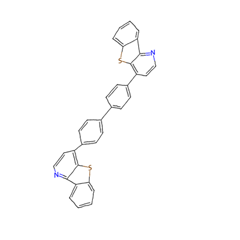 c1ccc2c(c1)sc1c(-c3ccc(-c4ccc(-c5ccnc6c5sc5ccccc56)cc4)cc3)ccnc12